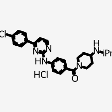 CC(C)NC1CCN(C(=O)c2ccc(Nc3nccc(-c4ccc(Cl)cc4)n3)cc2)CC1.Cl